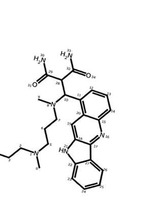 CN(CCN)CCCN(C)C(c1cccc2nc3c(cc12)[nH]c1ccccc13)C(C(N)=O)C(N)=O